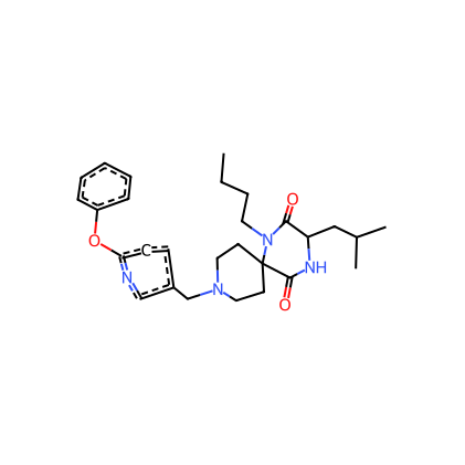 CCCCN1C(=O)C(CC(C)C)NC(=O)C12CCN(Cc1ccc(Oc3ccccc3)nc1)CC2